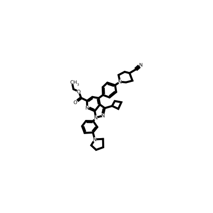 CCOC(=O)c1cc(-c2ccc(N3CCC(C#N)CC3)cc2)c2c(C3CCC3)nn(-c3cccc(N4CCCC4)c3)c2n1